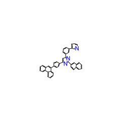 c1cncc(-c2cccc(-c3cc(-c4ccc(-c5cc6ccccc6c6ccccc56)cc4)nc(-c4ccc5ccccc5c4)n3)c2)c1